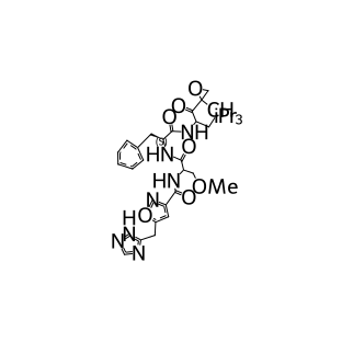 COCC(NC(=O)c1cc(Cc2ncn[nH]2)on1)C(=O)N[C@@H](Cc1ccccc1)C(=O)NC(CC(C)C)C(=O)C1(C)CO1